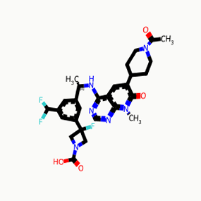 CC(=O)N1CCC(c2cc3c(N[C@H](C)c4cc(C(F)F)cc(C5(F)CN(C(=O)O)C5)c4)ncnc3n(C)c2=O)CC1